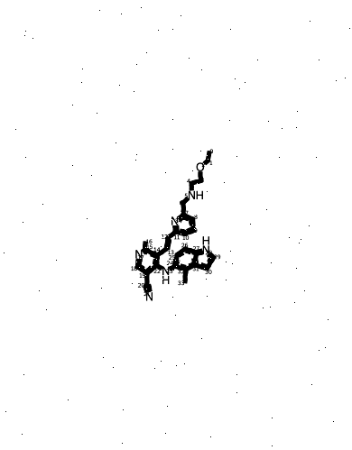 CCOCCNCc1cccc(C=Cc2c(C)ncc(C#N)c2Nc2ccc3[nH]ccc3c2C)n1